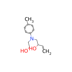 C=CC(O)CN(CCO)c1ccc(C)cc1